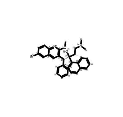 COc1nc2ccc(Br)cc2cc1[C@@H](c1ccccc1)C(O)(CCN(C)C)c1cccc2ccccc12